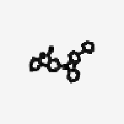 O=c1oc2ccccc2c2ccc(-n3c4ccccc4c4cc(-c5ccccc5)ccc43)cc12